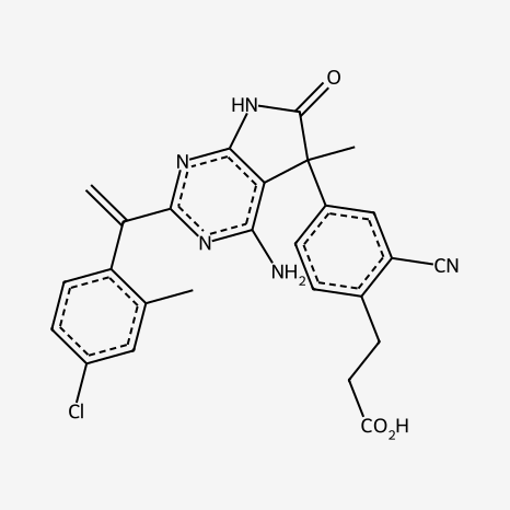 C=C(c1nc(N)c2c(n1)NC(=O)C2(C)c1ccc(CCC(=O)O)c(C#N)c1)c1ccc(Cl)cc1C